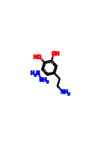 NCCc1ccc(O)c(O)c1.NN